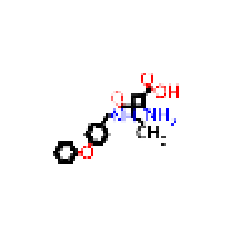 CCCC1(C(=O)NCc2ccc(Oc3ccccc3)cc2)CC(C(=O)O)C1N